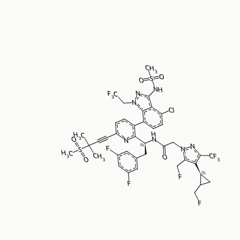 CC(C)(C#Cc1ccc(-c2ccc(Cl)c3c(NS(C)(=O)=O)nn(CC(F)(F)F)c23)c([C@H](Cc2cc(F)cc(F)c2)NC(=O)Cn2nc(C(F)(F)F)c([C@H]3CC3CF)c2CF)n1)S(C)(=O)=O